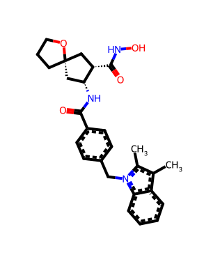 Cc1c(C)n(Cc2ccc(C(=O)N[C@@H]3C[C@@]4(CCCO4)C[C@@H]3C(=O)NO)cc2)c2ccccc12